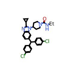 CCNC(=O)N1CCC(n2c(C3CC3)nc3ccc(C(c4ccc(Cl)cc4)c4ccc(Cl)cc4)cc32)CC1